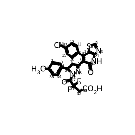 Cc1ccc(C2CC(c3c(-c4ccc(Cl)cc4)c4scnc4[nH]c3=O)=NN2C(=O)C(F)(F)CC(=O)O)cc1